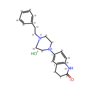 Cl.O=C1CCc2cc(N3CCN(CCc4ccccc4)CC3)ccc2N1